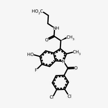 Cc1c([C@H](C)C(=O)NCCC(=O)O)c2cc(O)c(F)cc2n1C(=O)c1ccc(Cl)c(Cl)c1